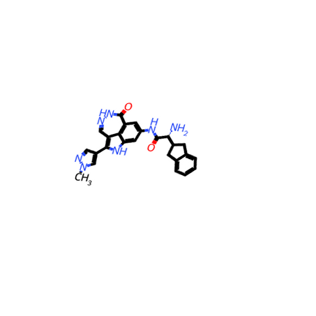 Cn1cc(-c2[nH]c3cc(NC(=O)[C@H](N)C4Cc5ccccc5C4)cc4c3c2C=NNC4=O)cn1